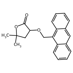 CC1(C)CC(OCc2c3ccccc3cc3ccccc23)C(=O)O1